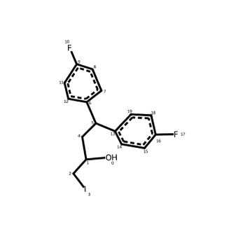 OC(CI)CC(c1ccc(F)cc1)c1ccc(F)cc1